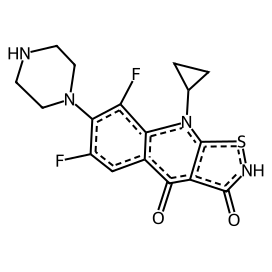 O=c1[nH]sc2c1c(=O)c1cc(F)c(N3CCNCC3)c(F)c1n2C1CC1